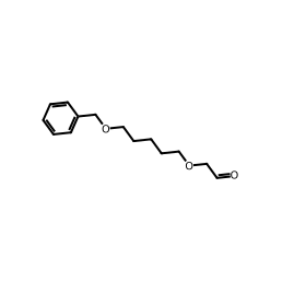 O=CCOCCCCCOCc1ccccc1